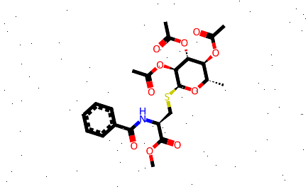 COC(=O)[C@H](CS[C@@H]1O[C@@H](C)[C@H](OC(C)=O)[C@@H](OC(C)=O)[C@@H]1OC(C)=O)NC(=O)c1ccccc1